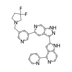 FC1(F)CCN(Cc2cncc(-c3cc4c(-c5cc6c(-c7ccccn7)nccc6[nH]5)n[nH]c4cn3)c2)C1